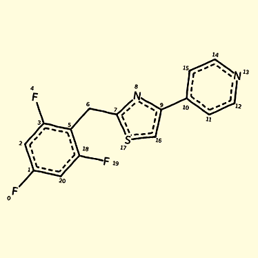 Fc1cc(F)c(Cc2nc(-c3ccncc3)cs2)c(F)c1